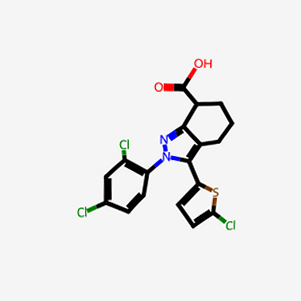 O=C(O)C1CCCc2c1nn(-c1ccc(Cl)cc1Cl)c2-c1ccc(Cl)s1